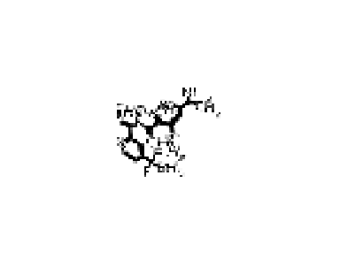 BC(F)(F)c1ccnc(/C(=N/C)N(C)C(=C)C(=C)/C(C)=C\C(Br)=C(/C)N)c1